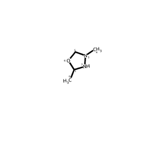 CC1NN(C)CO1